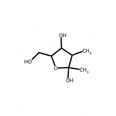 CC1C(O)C(CO)OC1(C)O